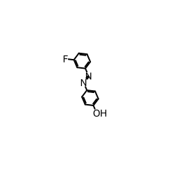 Oc1ccc(N=Nc2cccc(F)c2)cc1